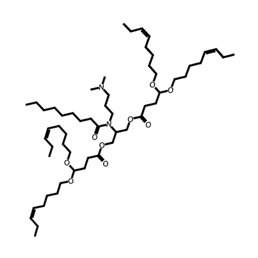 CC/C=C\CCCCOC(CCC(=O)OCC(COC(=O)CCC(OCCCC/C=C\CC)OCCCC/C=C\CC)N(CCCN(C)C)C(=O)CCCCCCCC)OCCCC/C=C\CC